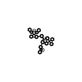 c1ccc(C2(c3ccccc3)c3ccccc3-c3c(N(c4ccc(-c5ccc6c(c5)oc5ccccc56)cc4)c4cccc(-c5ccc6c(c5)C5(c7ccccc7-6)c6ccc7ccccc7c6Oc6c5ccc5ccccc65)c4)cccc32)cc1